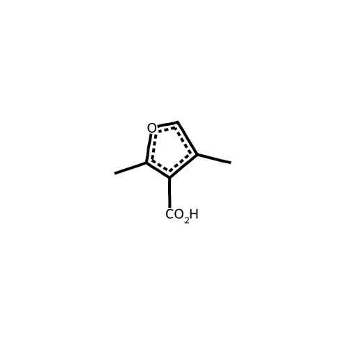 Cc1coc(C)c1C(=O)O